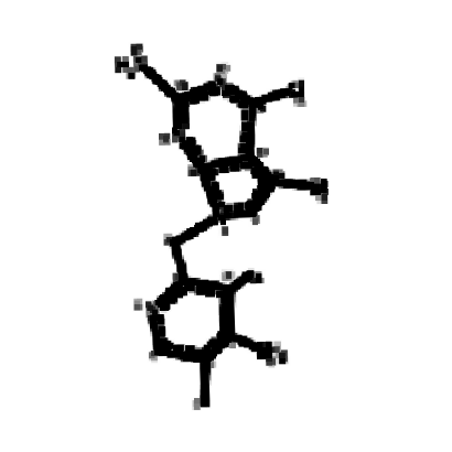 Bc1c(C)cnc(Cn2cc(CC)c3c(Cl)nc(N)nc32)c1C